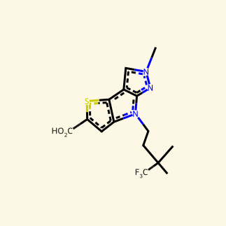 Cn1cc2c3sc(C(=O)O)cc3n(CCC(C)(C)C(F)(F)F)c2n1